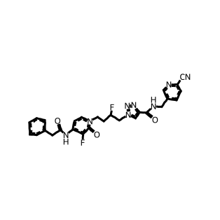 N#Cc1ccc(CNC(=O)c2cn(CC(F)CCn3ccc(NC(=O)Cc4ccccc4)c(F)c3=O)nn2)cn1